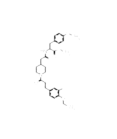 CCOc1ccc(CCC(=O)N2CCC(CC(=O)NC(Cc3ccc(OC)cc3)C(=O)OC)CC2)cc1F